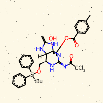 C=C1N[C@H]2[C@H](CO[Si](c3ccccc3)(c3ccccc3)C(C)(C)C)N/C(=N/C(=O)C(Cl)(Cl)Cl)N3CC(OC(=O)c4ccc(C)cc4)[C@H](O)C23N1